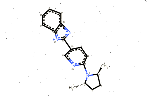 C[C@H]1CC[C@H](C)N1c1ccc(-c2nc3ccccc3[nH]2)cn1